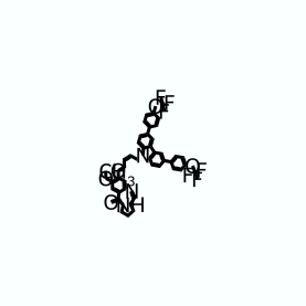 COc1cc2c(cc1OC/C=C\Cn1c3ccc(-c4ccc(OC(F)(F)F)cc4)cc3c3cc(-c4ccc(OC(F)(F)F)cc4)ccc31)N=C[C@@H]1CCCN1C2=O